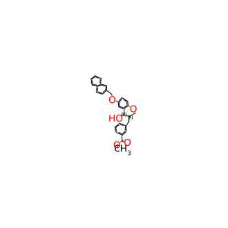 COC(=O)c1cccc(C[C@@H]2COc3ccc(OCc4ccc5ccccc5c4)cc3[C@@H]2O)c1